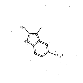 CC(C)(C)c1[nH]c2ccc(C(=O)O)cc2c1Cl